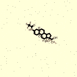 C[C@@H](O)[C@@]1(O)CCC2C3CC[C@H]4CC(NC(=O)C(F)(F)F)=CC[C@]4(C)C3CC[C@@]21C